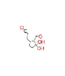 O=C=CCC1CCC(O)(O)C1C=O